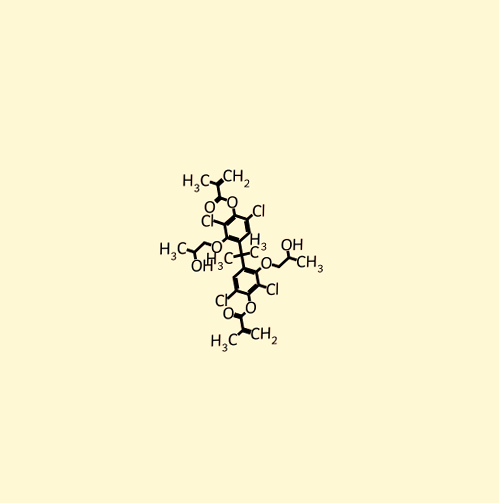 C=C(C)C(=O)Oc1c(Cl)cc(C(C)(C)c2cc(Cl)c(OC(=O)C(=C)C)c(Cl)c2OCC(C)O)c(OCC(C)O)c1Cl